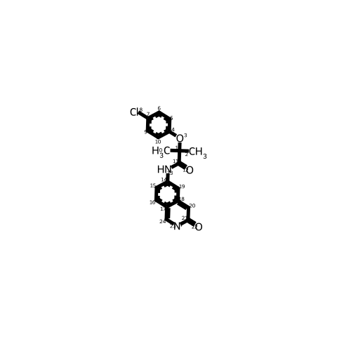 CC(C)(Oc1ccc(Cl)cc1)C(=O)Nc1ccc2c(c1)=CC(=O)[N]C=2